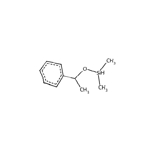 C[C](O[SiH](C)C)c1ccccc1